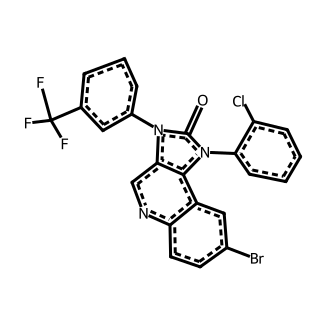 O=c1n(-c2cccc(C(F)(F)F)c2)c2cnc3ccc(Br)cc3c2n1-c1ccccc1Cl